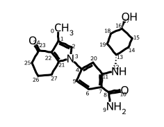 Cc1cn(-c2ccc(C(N)=O)c(N[C@H]3CC[C@H](O)CC3)c2)c2c1C(=O)CCC2